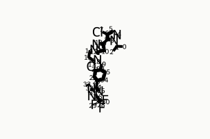 CC(C)n1ncc(Cl)c1-c1cc2n(n1)CCC(=O)N2Cc1ccc(-c2nc(C(F)(F)F)nn2C)cc1